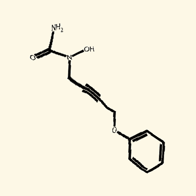 NC(=O)N(O)CC#CCOc1ccccc1